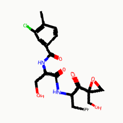 Cc1ccc(C(=O)NC(CO)C(=O)NC(CC(C)C)C(=O)C2(CO)CO2)cc1Cl